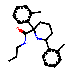 CCCNC(=O)C1(c2ccccc2C)CCCC(c2ccccc2C)N1